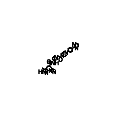 C/C(=C\c1c(-n2ccnc2)n[nH]c1C)C(=O)NC1CCN(CC(=O)N2CCN(c3ccc(-c4ncccn4)cc3)CC2)C1